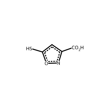 O=C(O)c1cc(S)on1